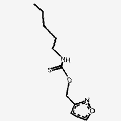 CCCCCNC(=S)OCc1ccon1